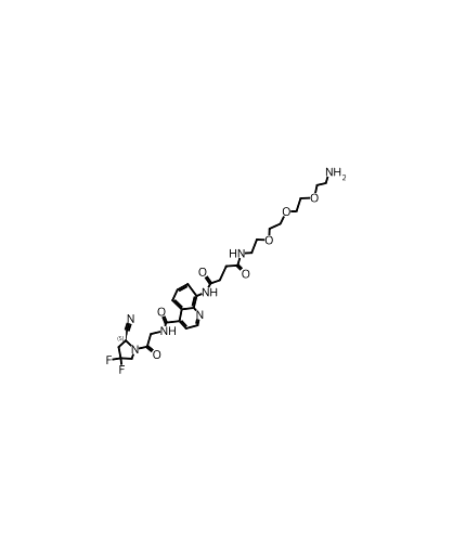 N#C[C@@H]1CC(F)(F)CN1C(=O)CNC(=O)c1ccnc2c(NC(=O)CCC(=O)NCCOCCOCCOCCN)cccc12